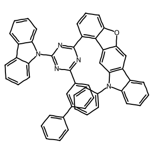 c1ccc(-c2cccc(-c3nc(-c4cccc5oc6cc7c8ccccc8n(-c8ccccc8)c7cc6c45)nc(-n4c5ccccc5c5ccccc54)n3)c2)cc1